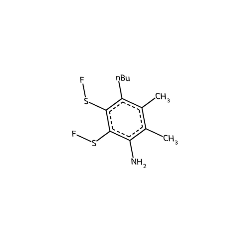 CCCCc1c(C)c(C)c(N)c(SF)c1SF